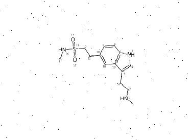 CNCCc1c[nH]c2ccc(CCS(=O)(=O)NC)cc12